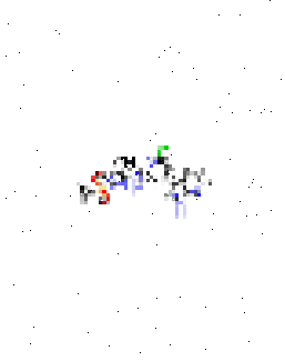 CC(C)(CNc1cc(-c2c[nH]c3ncccc23)cc(Cl)n1)CNS(=O)(=O)C1CC1